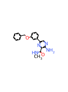 CNC(=O)c1nc(-c2cccc(OCc3ccccc3)c2)cnc1N